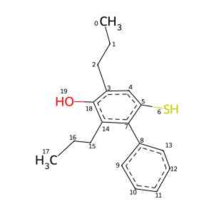 CCCc1cc(S)c(-c2ccccc2)c(CCC)c1O